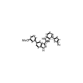 COc1cncc(-c2ccc3[nH]nc(-c4nc5c(-c6ccc(C(C)=O)s6)nccc5[nH]4)c3c2)c1